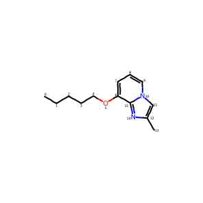 CCCCCOc1cccn2cc(C)nc12